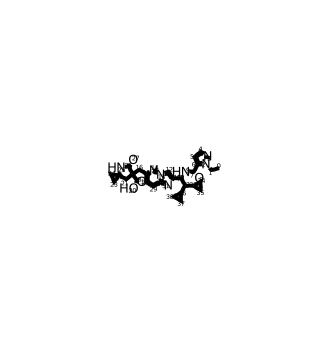 CCn1nccc1C(=O)N[C@H](c1cn2nc(CC3(C(=O)O)CC4(CC4)NC3=O)ccc2n1)C(C1CC1)C1CC1